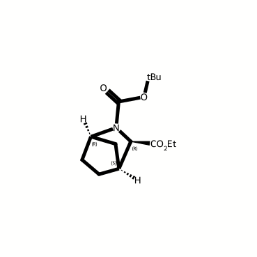 CCOC(=O)[C@H]1[C@H]2CC[C@H](C2)N1C(=O)OC(C)(C)C